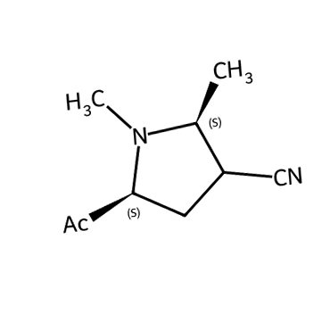 CC(=O)[C@@H]1CC(C#N)[C@H](C)N1C